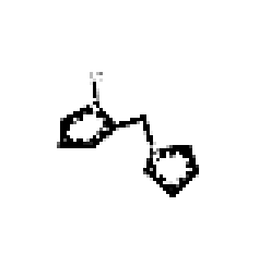 CCn1cccc1Cn1cccc1